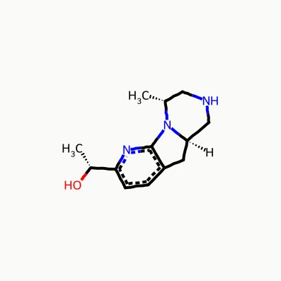 C[C@@H]1CNC[C@H]2Cc3ccc([C@@H](C)O)nc3N21